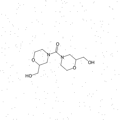 O=C(N1CCOC(CO)C1)N1CCOC(CO)C1